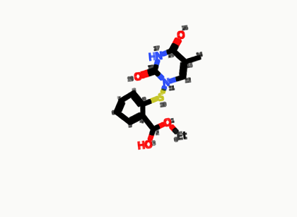 CCOC(O)c1ccccc1Sn1cc(C)c(=O)[nH]c1=O